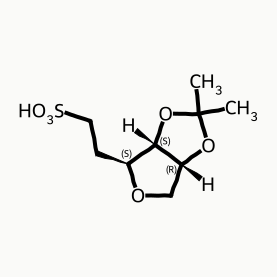 CC1(C)O[C@H]2[C@H](CCS(=O)(=O)O)OC[C@H]2O1